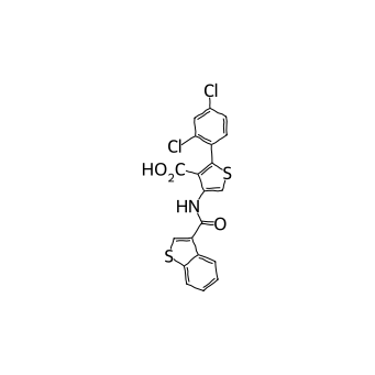 O=C(O)c1c(NC(=O)c2csc3ccccc23)csc1-c1ccc(Cl)cc1Cl